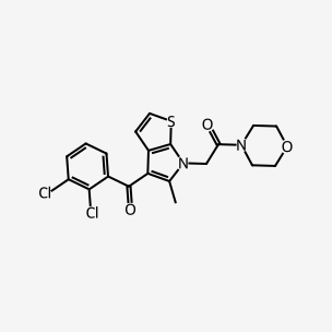 Cc1c(C(=O)c2cccc(Cl)c2Cl)c2ccsc2n1CC(=O)N1CCOCC1